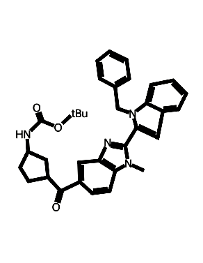 Cn1c(-c2cc3ccccc3n2Cc2ccccc2)nc2cc(C(=O)C3CCC(NC(=O)OC(C)(C)C)C3)ccc21